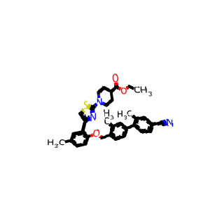 CCOC(=O)C1CCN(c2nc(-c3cc(C)ccc3OCc3ccc(-c4ccc(C#N)cc4C)cc3C)cs2)CC1